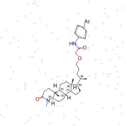 CC(=O)c1ccc(NC(=O)COCCC[C@@H](C)[C@H]2CC[C@H]3[C@@H]4CC[C@H]5N(C)C(=O)CC[C@]5(C)[C@H]4CC[C@]23C)cc1